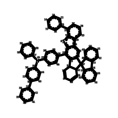 C1=CC2c3c(cc4c(sc5c(-c6ccccc6)cccc54)c3-c3ccc(N(c4ccccc4)c4ccc(-c5ccccc5)cc4)cc3)C3(c4ccccc4-c4ccccc43)C2C=C1